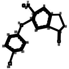 O=C1CCc2cc([N+](=O)[O-])c(Oc3ccc(Cl)cc3)cc21